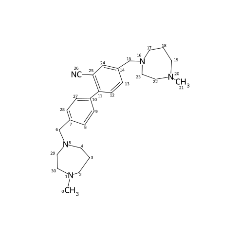 CN1CCCN(Cc2ccc(-c3ccc(CN4CCCN(C)CC4)cc3C#N)cc2)CC1